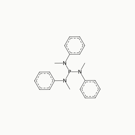 CN(c1ccccc1)P(N(C)c1ccccc1)N(C)c1ccccc1